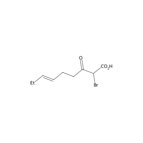 CCC=CCCC(=O)C(Br)C(=O)O